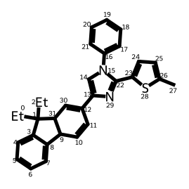 CCC1(CC)c2ccccc2C2C=CC(c3cn(-c4ccccc4)c(-c4ccc(C)s4)n3)=CC21